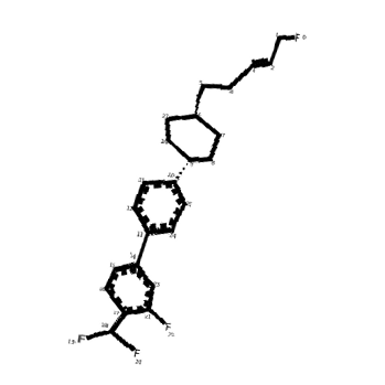 FC/C=C/CC[C@H]1CC[C@H](c2ccc(-c3ccc(C(F)F)c(F)c3)cc2)CC1